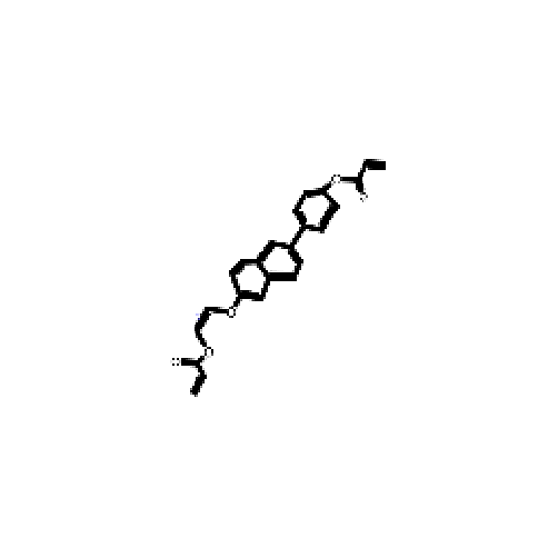 C=CC(=O)O/C=C\Oc1ccc2cc(-c3ccc(OC(=O)C=C)cc3)ccc2c1